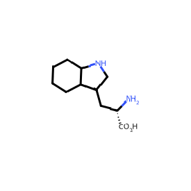 N[C@@H](CC1CNC2CCCCC12)C(=O)O